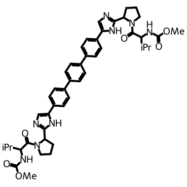 COC(=O)NC(C(=O)N1CCCC1c1ncc(-c2ccc(-c3ccc(-c4ccc(-c5cnc(C6CCCN6C(=O)C(NC(=O)OC)C(C)C)[nH]5)cc4)cc3)cc2)[nH]1)C(C)C